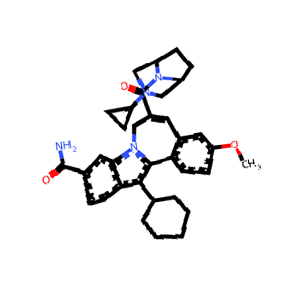 COc1ccc2c(c1)C=C(C(=O)N1C3CCC1CN(C1CC1)C3)Cn1c-2c(C2CCCCC2)c2ccc(C(N)=O)cc21